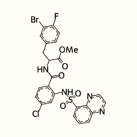 COC(=O)C(Cc1ccc(F)c(Br)c1)NC(=O)c1ccc(Cl)cc1NS(=O)(=O)c1cccc2nccnc12